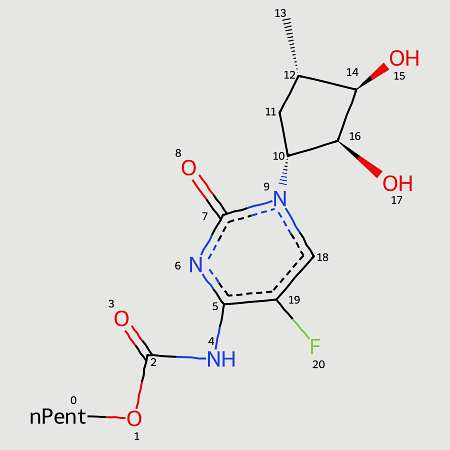 CCCCCOC(=O)Nc1nc(=O)n([C@@H]2C[C@H](C)[C@@H](O)[C@H]2O)cc1F